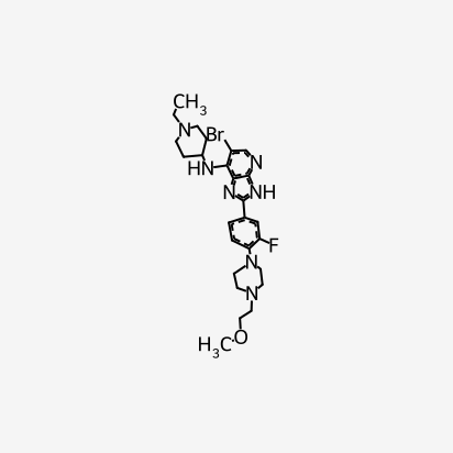 CCN1CCC(Nc2c(Br)cnc3[nH]c(-c4ccc(N5CCN(CCOC)CC5)c(F)c4)nc23)CC1